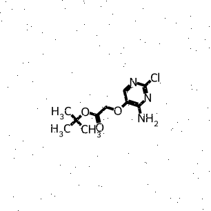 CC(C)(C)OC(=O)COc1cnc(Cl)nc1N